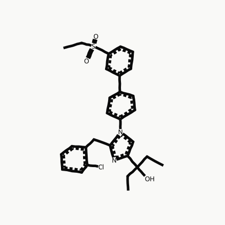 CCC(O)(CC)c1cn(-c2ccc(-c3cccc(S(=O)(=O)CC)c3)cc2)c(Cc2ccccc2Cl)n1